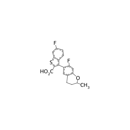 CC1CCc2cc(-c3c(C(=O)O)sc4cc(F)ccc34)c(F)cc2O1